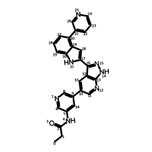 CCC(=O)Nc1cncc(-c2cnc3[nH]nc(-c4cc5c(-c6cccnc6)cccc5[nH]4)c3c2)c1